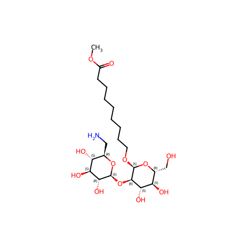 COC(=O)CCCCCCCCO[C@H]1O[C@H](CO)[C@@H](O)[C@H](O)[C@H]1O[C@@H]1O[C@H](CN)[C@@H](O)[C@H](O)[C@H]1O